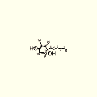 CCCCCCC1(O)C(C)=CC(O)=C(C)C1C